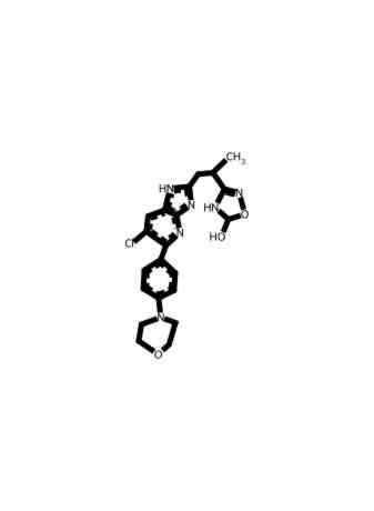 CC(Cc1nc2nc(-c3ccc(N4CCOCC4)cc3)c(Cl)cc2[nH]1)C1=NOC(O)N1